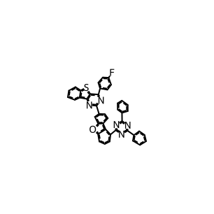 Fc1ccc(-c2nc(-c3ccc4c(c3)oc3cccc(-c5nc(-c6ccccc6)nc(-c6ccccc6)n5)c34)nc3c2sc2ccccc23)cc1